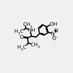 CC(C)NC(Cc1ccc(O)c([N+](=O)[O-])c1)C(=O)C(C)C